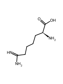 N=C(N)CCCC[C@H](N)C(=O)O